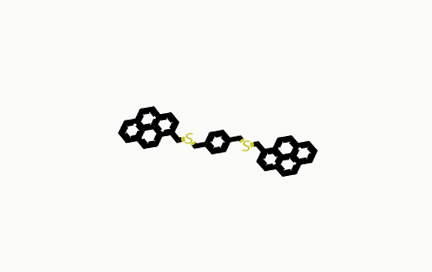 c1cc2ccc3ccc(CSCc4ccc(CSCc5ccc6ccc7cccc8ccc5c6c78)cc4)c4ccc(c1)c2c34